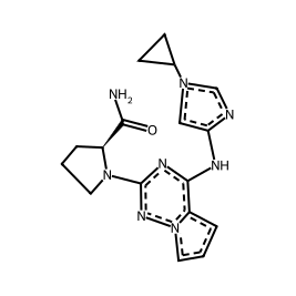 NC(=O)[C@@H]1CCCN1c1nc(Nc2cn(C3CC3)cn2)c2cccn2n1